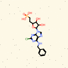 O=P(O)(O)CCC1OC(n2cnc3c(NCc4ccccc4)nc(Cl)nc32)C(O)C1O